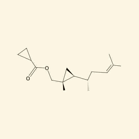 CC(C)=CC[C@H](C)[C@@H]1C[C@@]1(C)COC(=O)C1CC1